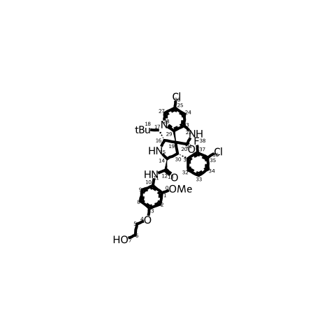 COc1cc(OCCO)ccc1NC(=O)[C@H]1N[C@H](CC(C)(C)C)[C@]2(C(=O)Nc3cc(Cl)cnc32)[C@@H]1c1cccc(Cl)c1F